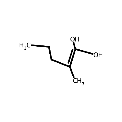 CCCC(C)=C(O)O